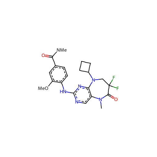 CNC(=O)c1ccc(Nc2ncc3c(n2)N(C2CCC2)CC(F)(F)C(=O)N3C)c(OC)c1